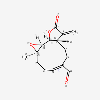 C=C1C(=O)O[C@H]2[C@H]1CC/C(C=O)=C\CC[C@@]1(C)O[C@@H]21